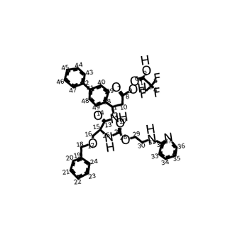 O=C(O)C(F)(F)F.O=C(O)CC(NC(=O)C(COCc1ccccc1)NC(=O)OCCNc1ccccn1)c1ccc(-c2ccccc2)cc1